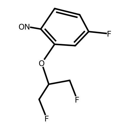 O=Nc1ccc(F)cc1OC(CF)CF